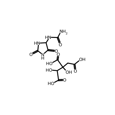 NC(=O)NC1NC(=O)NC1=O.O=C(O)CC(O)(C(=O)O)C(O)C(=O)O